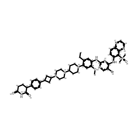 CCc1cc(Nc2ncc(Br)c(Nc3ccc4nccnc4c3P(C)(C)=O)n2)c(OC)cc1N1CCC(N2CCN(C3CC(c4ccc(C5CCC(=O)NC5=O)cc4)C3)CC2)CC1